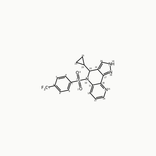 O=S(=O)(c1ccc(C(F)(F)F)cc1)N1c2cccnc2-c2n[nH]cc2C1C1CC1